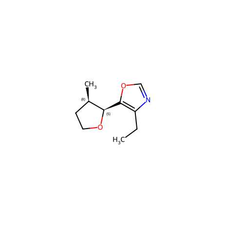 CCc1ncoc1[C@H]1OCC[C@H]1C